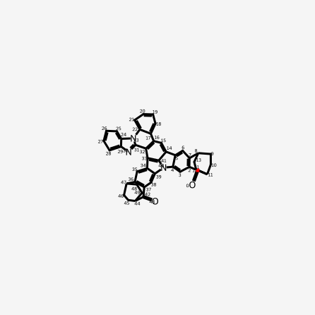 O=C1c2cc3c(cc2C2CCC1CC2)c1cc2c4ccccc4n4c5ccccc5nc4c2c2c4cc5c(cc4n3c12)C(=O)C1CCC5CC1